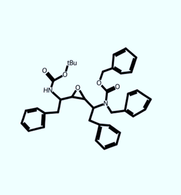 CC(C)(C)OC(=O)NC(Cc1ccccc1)C1OC1C(Cc1ccccc1)N(Cc1ccccc1)C(=O)OCc1ccccc1